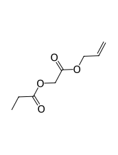 C=CCOC(=O)COC(=O)CC